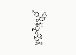 COc1cnc2c(Oc3ccc(NC(=O)c4cn5c(c(-c6ccc(F)cc6)c4=O)COCC5)cc3F)ccnc2c1